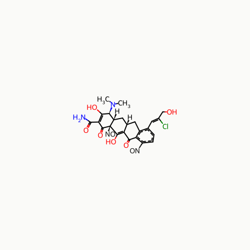 CN(C)[C@@H]1C(O)=C(C(N)=O)C(=O)[C@@]2(N=O)C(O)=C3C(=O)c4c(N=O)ccc(/C=C(\Cl)CO)c4C[C@H]3C[C@@H]12